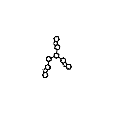 c1cc(-c2cc(-c3ccc4c(c3)sc3ccccc34)cc(-c3ccc4c(c3)sc3ccccc34)c2)cc(-c2ccc3c(c2)sc2ccccc23)c1